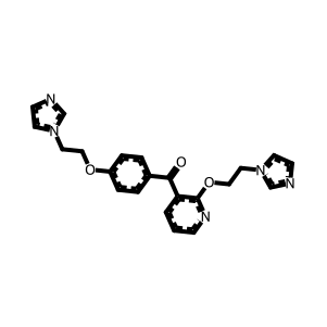 O=C(c1ccc(OCCn2ccnc2)cc1)c1cccnc1OCCn1ccnc1